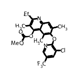 CCc1nc2cc(C)c(Oc3ncc(C(F)(F)F)cc3Cl)c(C)c2c(OC(=O)OC)c1C